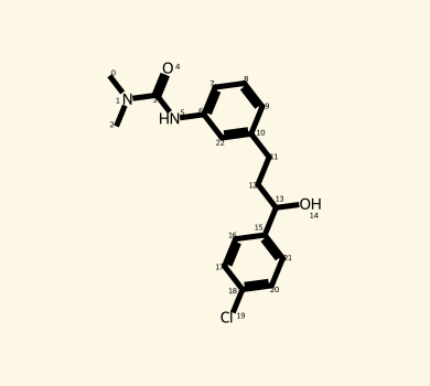 CN(C)C(=O)Nc1cccc(CCC(O)c2ccc(Cl)cc2)c1